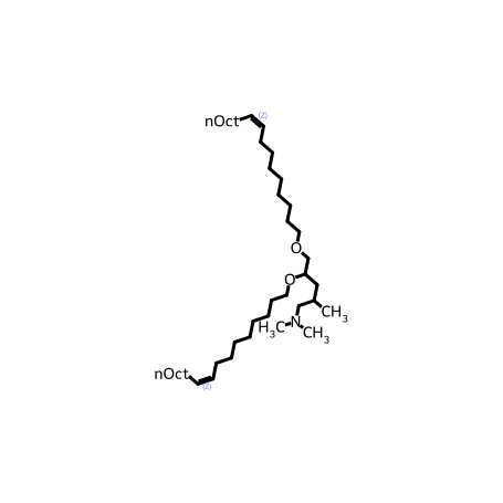 CCCCCCCC/C=C\CCCCCCCCOCC(CC(C)CN(C)C)OCCCCCCCC/C=C\CCCCCCCC